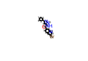 Cn1nc(-c2ccccc2)cc1NC(=O)c1ccc2cc(Br)cnc2c1